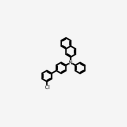 Clc1cccc(-c2ccc(N(c3ccccc3)c3ccc4ccccc4c3)cc2)c1